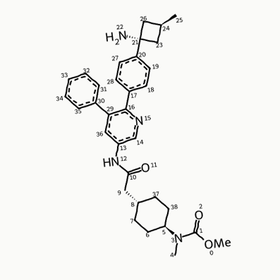 COC(=O)N(C)[C@H]1CC[C@H](CC(=O)Nc2cnc(-c3ccc([C@]4(N)C[C@H](C)C4)cc3)c(-c3ccccc3)c2)CC1